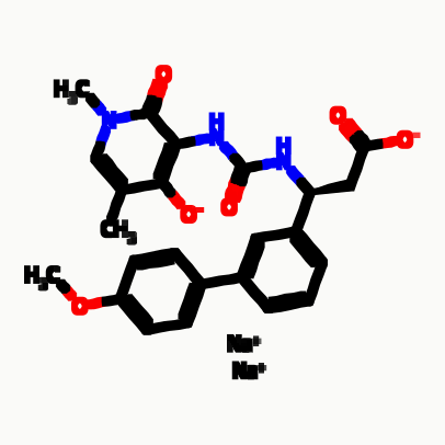 COc1ccc(-c2cccc([C@H](CC(=O)[O-])NC(=O)Nc3c([O-])c(C)cn(C)c3=O)c2)cc1.[Na+].[Na+]